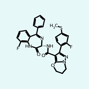 CSc1ccc(-c2nn3c(c2C(=O)N[C@H]2N=C(c4ccccc4)c4cccc(F)c4NC2=O)OCCC3)c(F)c1